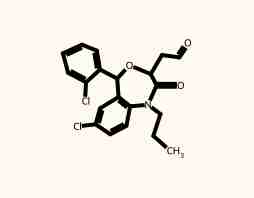 CCCN1C(=O)C(CC=O)OC(c2ccccc2Cl)c2cc(Cl)ccc21